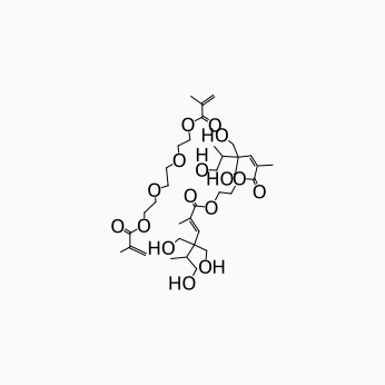 C=C(C)C(=O)OCCOCCOCCOC(=O)C(=C)C.CC(=CC(CO)(CO)C(C)CO)C(=O)OCCOC(=O)C(C)=CC(CO)(CO)C(C)CO